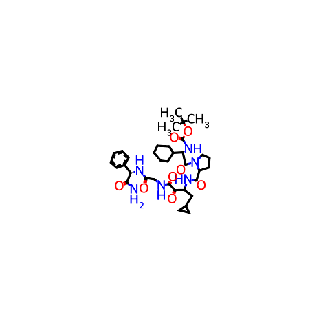 CC(C)(C)OC(=O)N[C@H](C(=O)N1CCCC1C(=O)NC(CC1CC1)C(=O)C(=O)NCC(=O)N[C@H](C(N)=O)c1ccccc1)C1CCCCC1